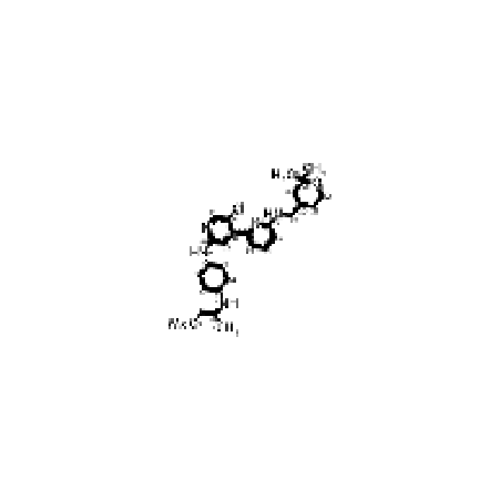 COC[C@H](C)N[C@H]1CC[C@H](Nc2cc(-c3cccc(NCC4CCOC(C)(C)C4)n3)c(Cl)cn2)CC1